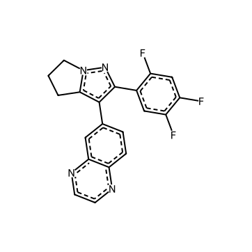 Fc1cc(F)c(-c2nn3c(c2-c2ccc4nccnc4c2)CCC3)cc1F